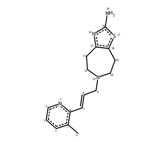 Cc1cccnc1/C=C/CN1CCc2nc(N)sc2CC1